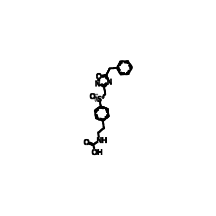 O=C(O)NCCc1ccc([S@+]([O-])Cc2noc(Cc3ccccc3)n2)cc1